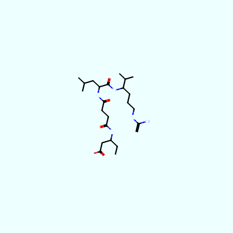 C=C(N)NCCCC(NC(=O)C(CC(C)C)NC(=O)CCC(=O)NC(CC)CC(=O)O)C(C)C